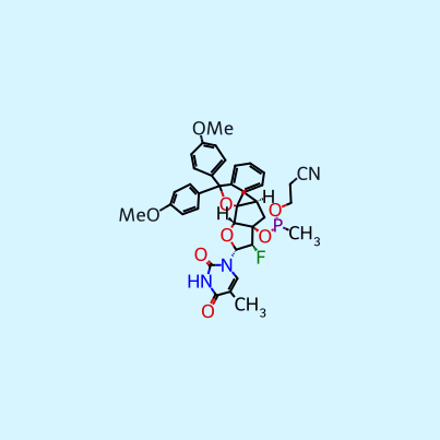 COc1ccc(C(O[C@]23C[C@H]2C[C@@]2(OP(C)OCCC#N)[C@@H]3O[C@@H](n3cc(C)c(=O)[nH]c3=O)[C@@H]2F)(c2ccccc2)c2ccc(OC)cc2)cc1